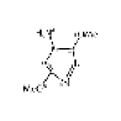 COc1cc(N)c(OC)cn1